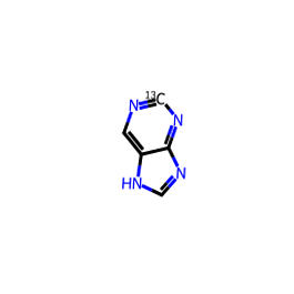 c1nc2n[13cH]ncc2[nH]1